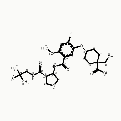 COc1cc(F)c(O[C@H]2CC[C@@](CO)(C(=O)O)CC2)cc1C(=O)N[C@H]1COC[C@H]1C(=O)NCC(C)(C)C